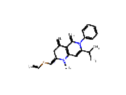 C=CS/C=C1\CC(=C)C2=C(C=C(C(C)C)N(c3ccccc3)C2=C)N1C